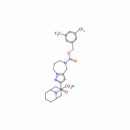 O=C(O)C1CC2CCCC(C1)N2C(=O)c1cc2n(n1)CCCN(C(=O)OCc1cc(C(F)(F)F)cc(C(F)(F)F)c1)C2